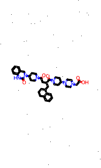 O=C(O)CN1CCN(C2CCN(C(=O)C(CC(=O)N3CCC(N4Cc5ccccc5NC4=O)CC3)CC3CCCc4ccccc43)CC2)CC1